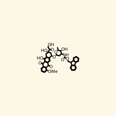 COc1cccc2c1C(=O)c1cc3c(c(O)c1C2=O)C[C@@](O)(C(=O)CO)C[C@@H]3OC1CC(NC(=O)OCC2c3ccccc3-c3ccccc32)C(O)C(C)O1